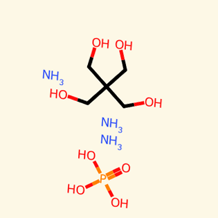 N.N.N.O=P(O)(O)O.OCC(CO)(CO)CO